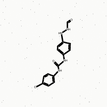 O=CNNc1ccc(NC(=O)Nc2ccc(Cl)cc2)cc1